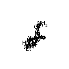 CCC(=O)NCCNC(=O)/N=C(/N)NCCC[C@@H](NC(=O)[C@H](c1ccc(OCCCN2C(=O)C[C@@H](N)C2=O)cc1)N1Cc2ccccc2C1)C(=O)NCc1c(F)cc(O)cc1F